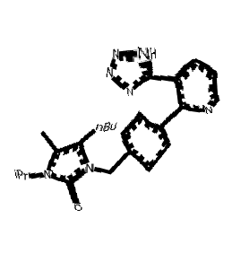 CCCCc1c(C)n(C(C)C)c(=O)n1Cc1ccc(-c2ncccc2-c2nnn[nH]2)cc1